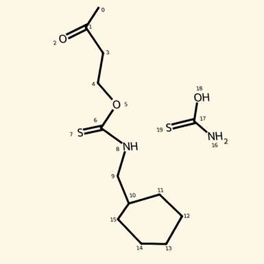 CC(=O)CCOC(=S)NCC1CCCCC1.NC(O)=S